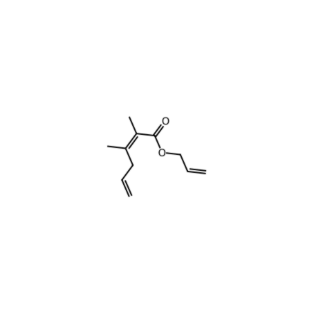 C=CCOC(=O)C(C)=C(C)CC=C